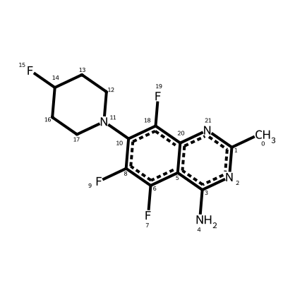 Cc1nc(N)c2c(F)c(F)c(N3CCC(F)CC3)c(F)c2n1